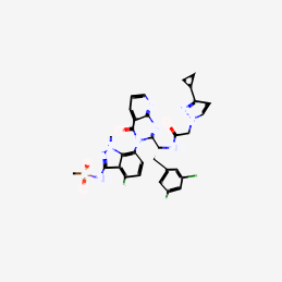 Cn1nc(NS(C)(=O)=O)c2c(Cl)ccc(-n3c([C@H](Cc4cc(F)cc(F)c4)NC(=O)Cn4ccc(C5CC5)n4)nc4ncccc4c3=O)c21